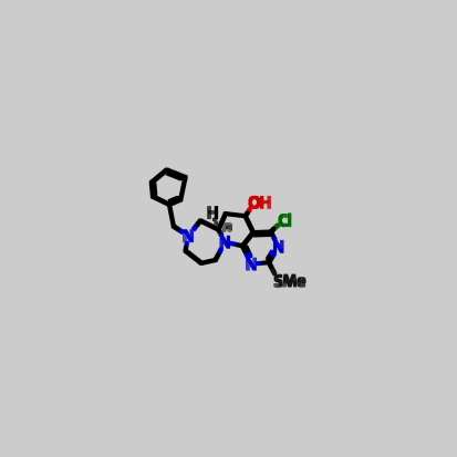 CSc1nc(Cl)c2c(n1)N1CCCN(Cc3ccccc3)C[C@H]1CC2O